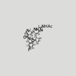 CC(=O)Nc1cn2nc(-c3cnc(C)c(C(=O)NCc4cc(F)ccc4OC4CCCC4)c3)ccc2n1